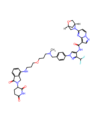 CN(CCCOCCCNc1cccc2c1CN(C1CCC(=O)NC1=O)C2=O)Cc1ccc(-n2cc(NC(=O)c3cnn4ccc(N5C[C@H]6C[C@@H]5CO6)nc34)c(C(F)F)n2)cc1